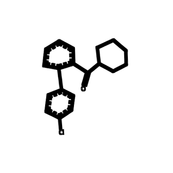 O=C(c1ccccc1-c1ccc(Cl)cc1)C1CCCCC1